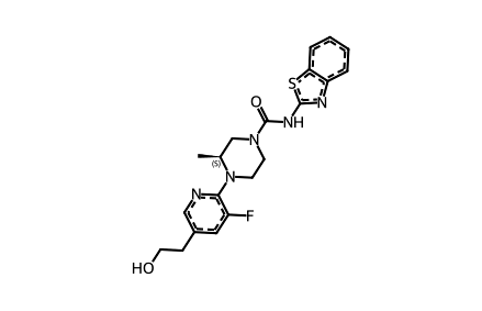 C[C@H]1CN(C(=O)Nc2nc3ccccc3s2)CCN1c1ncc(CCO)cc1F